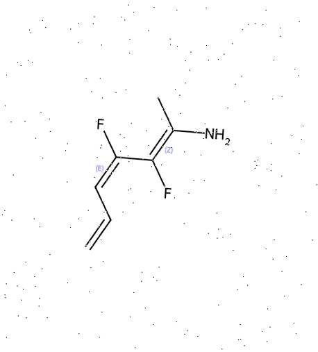 C=C/C=C(F)\C(F)=C(/C)N